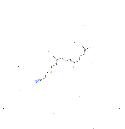 CC(C)=CCCC(C)=CCCC(C)=CCSCCC#N